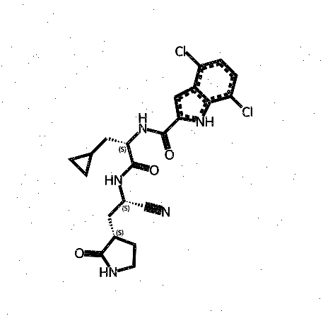 N#C[C@H](C[C@@H]1CCNC1=O)NC(=O)[C@H](CC1CC1)NC(=O)c1cc2c(Cl)ccc(Cl)c2[nH]1